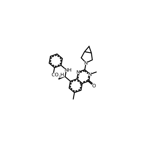 Cc1cc([C@@H](C)Nc2ccccc2C(=O)O)c2nc(N3CC4CC4C3)n(C)c(=O)c2c1